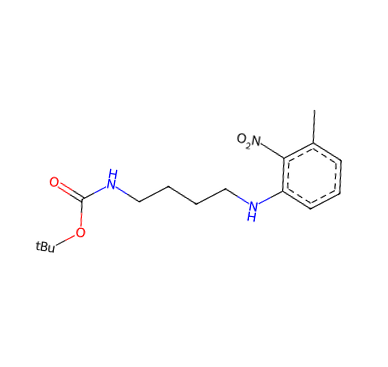 Cc1cccc(NCCCCNC(=O)OC(C)(C)C)c1[N+](=O)[O-]